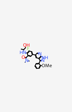 COc1ccccc1-c1n[nH]c2ncc(-c3cc(F)c(NC(C)CO)c(C(=O)N(C)C)c3)cc12